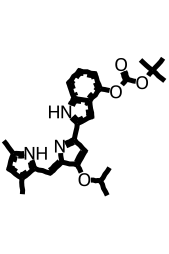 Cc1cc(C)c(C=C2N=C(c3cc4c(OC(=O)OC(C)(C)C)cccc4[nH]3)C=C2OC(C)C)[nH]1